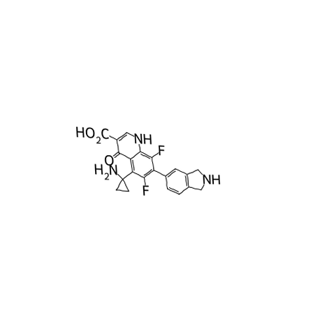 NC1(c2c(F)c(-c3ccc4c(c3)CNC4)c(F)c3[nH]cc(C(=O)O)c(=O)c23)CC1